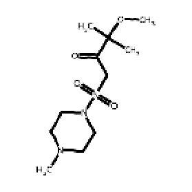 COC(C)(C)C(=O)CS(=O)(=O)N1CCN(C)CC1